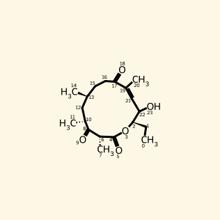 CC[C@H]1OC(=O)[C@H](C)C(=O)[C@H](C)C[C@@H](C)CCC(=O)/C(C)=C/C1O